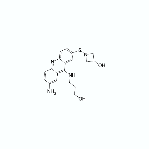 Nc1ccc2nc3ccc(SN4CC(O)C4)cc3c(NCCCO)c2c1